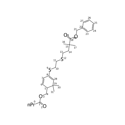 CCCC(=O)OCC1C=CC(SCCSCCC(C)(C)C(=O)OCc2ccccc2)=CC1(C)C